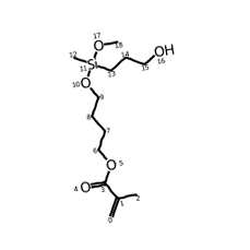 C=C(C)C(=O)OCCCCO[Si](C)(CCCO)OC